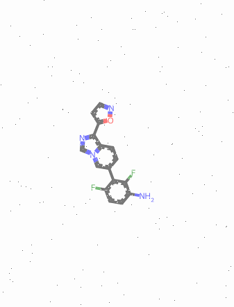 Nc1ccc(F)c(-c2ccc3c(-c4ccno4)ncn3c2)c1F